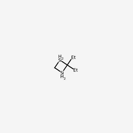 CCC1(CC)[SiH2]C[SiH2]1